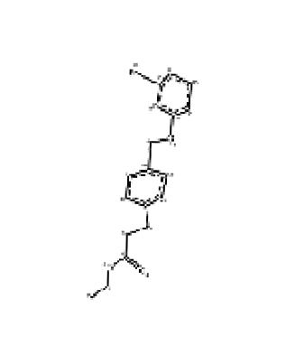 CCOC(=O)CCc1ccc(COc2cccc(Br)n2)cc1